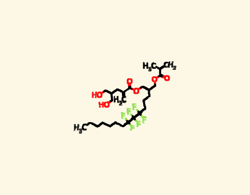 C=C(C)C(=O)OCC(CCCC(F)(F)C(F)(F)C(F)(F)CCCCCCC)COC(=O)C(=C)CC(CO)CO